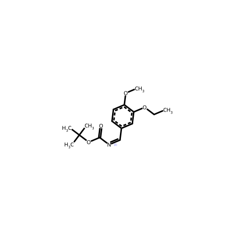 CCOc1cc(/C=N\C(=O)OC(C)(C)C)ccc1OC